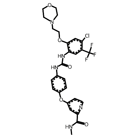 CNC(=O)c1cc(Oc2ccc(NC(=O)Nc3cc(C(F)(F)F)c(Cl)cc3OCCN3CCOCC3)cc2)ccn1